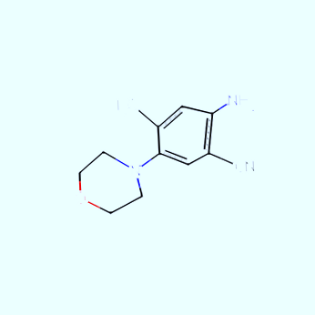 Cc1cc(N)c(C#N)cc1N1CCOCC1